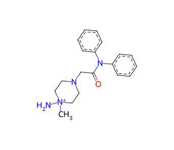 C[N+]1(N)CCN(CC(=O)N(c2ccccc2)c2ccccc2)CC1